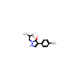 Cc1ccc(-c2c[nH]n(CC(C)C)c2=O)cc1